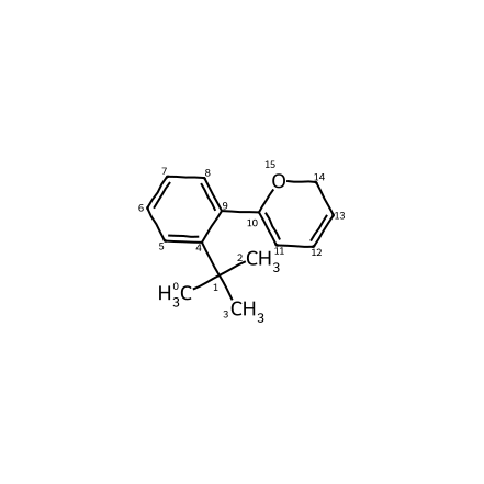 CC(C)(C)c1ccccc1C1=CC=CCO1